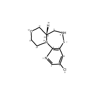 Clc1cnc2c(c1)SNC[C@H]1COCCN21